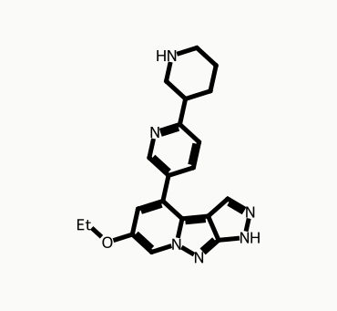 CCOc1cc(-c2ccc(C3CCCNC3)nc2)c2c3cn[nH]c3nn2c1